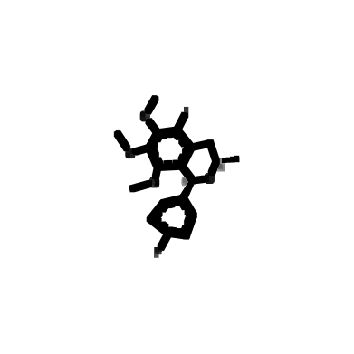 COc1c(I)c2c(c(OC)c1OC)[C@H](c1ccc(F)cc1)O[C@@H](C)C2